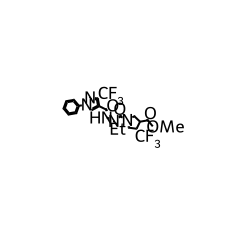 CCN(NC(=O)c1cn(-c2ccccc2)nc1C(F)(F)F)C(=O)N1CC(C(=O)OC)C(C(F)(F)F)C1